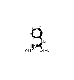 NC(=Nc1ccccc1)NC=O